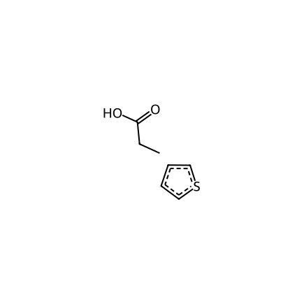 CCC(=O)O.c1ccsc1